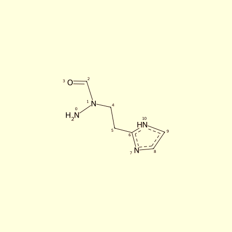 NN(C=O)CCc1ncc[nH]1